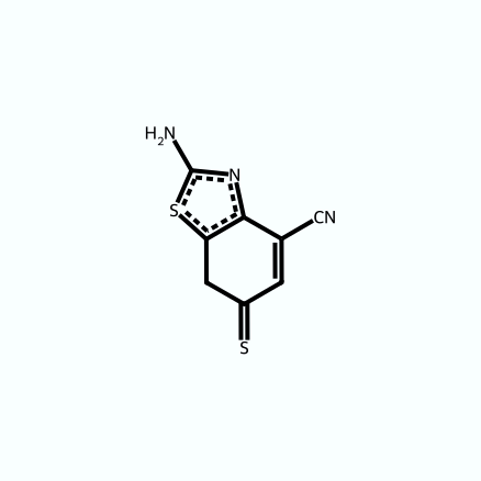 N#CC1=CC(=S)Cc2sc(N)nc21